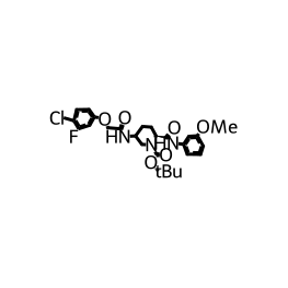 COc1cccc(NC(=O)[C@@H]2CCC(NC(=O)COc3ccc(Cl)c(F)c3)CN2C(=O)OC(C)(C)C)c1